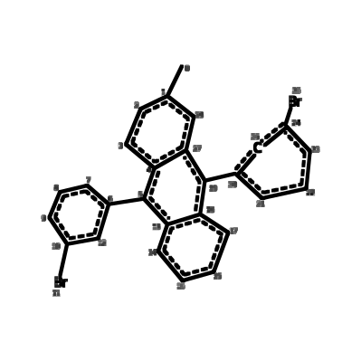 Cc1ccc2c(-c3cccc(Br)c3)c3ccccc3c(-c3cccc(Br)c3)c2c1